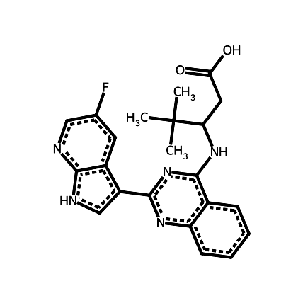 CC(C)(C)C(CC(=O)O)Nc1nc(-c2c[nH]c3ncc(F)cc23)nc2ccccc12